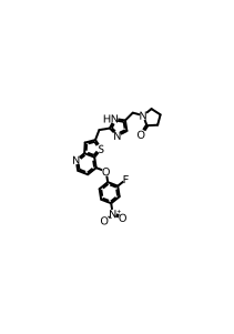 O=C1CCCN1Cc1cnc(Cc2cc3nccc(Oc4ccc([N+](=O)[O-])cc4F)c3s2)[nH]1